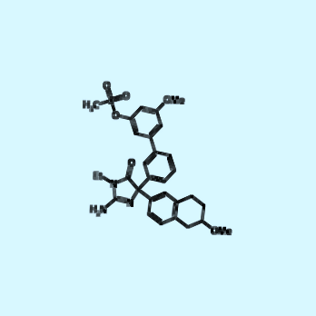 CCN1C(=O)C(c2cccc(-c3cc(OC)cc(OS(C)(=O)=O)c3)c2)(c2ccc3c(c2)CCC(OC)C3)N=C1N